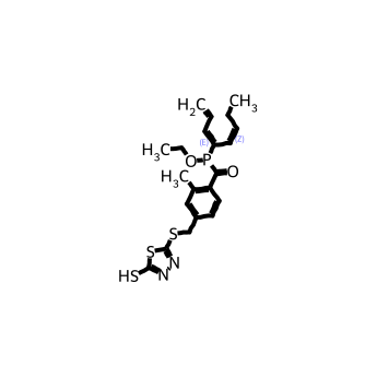 C=C/C=C(\C=C/CC)P(OCC)C(=O)c1ccc(CSc2nnc(S)s2)cc1C